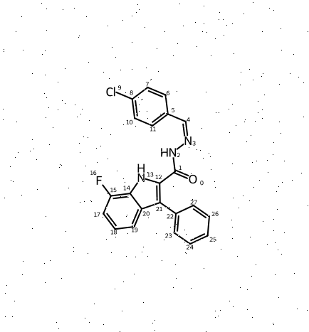 O=C(N/N=C\c1ccc(Cl)cc1)c1[nH]c2c(F)cccc2c1-c1ccccc1